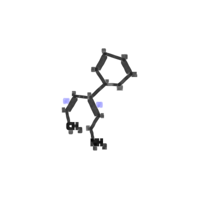 C/C=C\C(=C/CN)C1C=CC=CC1